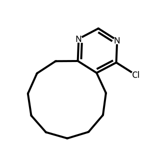 Clc1ncnc2c1CCCCCCCCC2